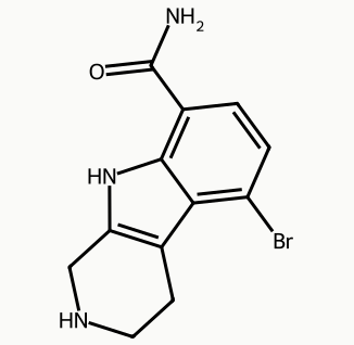 NC(=O)c1ccc(Br)c2c3c([nH]c12)CNCC3